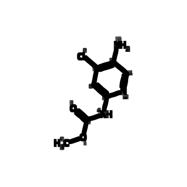 COC(=O)Nc1cc(Cl)c(N)cn1